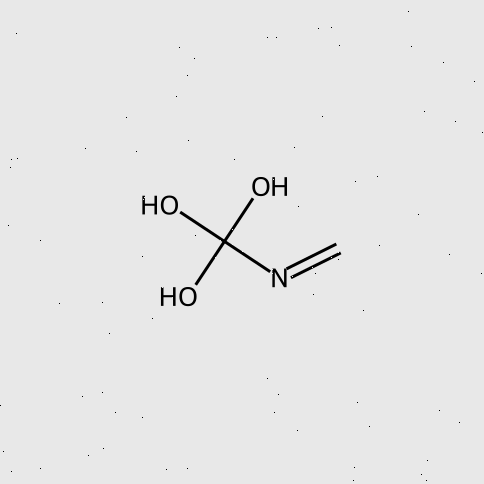 C=NC(O)(O)O